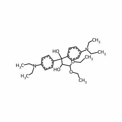 CCOC(OCC)C(O)C(O)(c1ccc(N(CC)CC)cc1)c1ccc(N(CC)CC)cc1